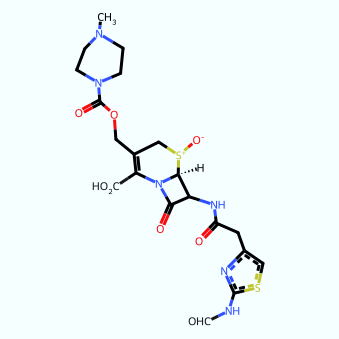 CN1CCN(C(=O)OCC2=C(C(=O)O)N3C(=O)C(NC(=O)Cc4csc(NC=O)n4)[C@@H]3[S+]([O-])C2)CC1